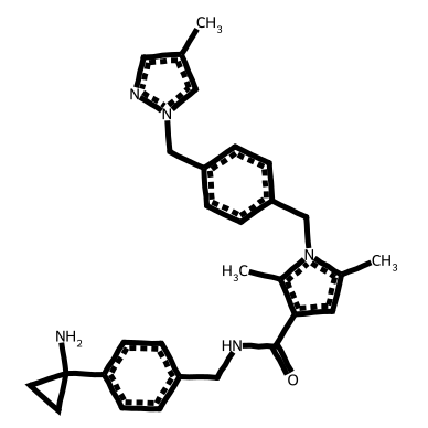 Cc1cnn(Cc2ccc(Cn3c(C)cc(C(=O)NCc4ccc(C5(N)CC5)cc4)c3C)cc2)c1